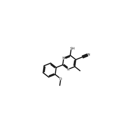 COc1ccccc1-c1nc(C)c(C#N)c(S)n1